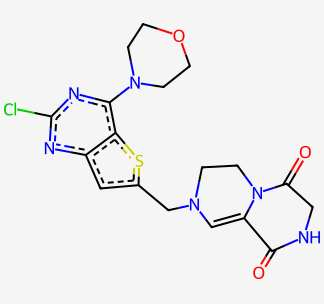 O=C1NCC(=O)N2CCN(Cc3cc4nc(Cl)nc(N5CCOCC5)c4s3)C=C12